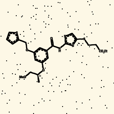 CCOC(=O)CCSc1cnc(NC(=O)c2cc(OCc3cccs3)cc(O[C@@H](C)COC)c2)s1